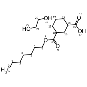 CCCCCCCOC(=O)C1CCCC(C(=O)O)C1.OCCO